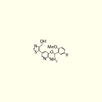 COc1ccc(F)cc1C(C)Oc1cc(-c2scnc2CO)cnc1N